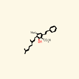 COc1cc(/C=C/c2ccccc2)c(C(=O)O)c(O)c1C/C=C(\C)CCC=C(C)C